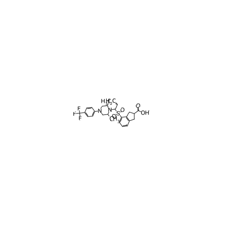 C=CC(N1C(C)CN(c2ccc(C(F)(F)F)cc2)CC1C)S(=O)(=O)c1cccc2c1CC(C(=O)O)C2